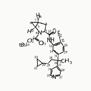 CC(C)(C)OC(=O)N1[C@@H]2C[C@@H]2C[C@H]1C(=O)Nc1cc(C(C)(CCC2CC2)c2ccncc2)ccc1F